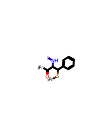 CC(C)SC(c1ccccc1)C(NI)C(=O)C(C)C